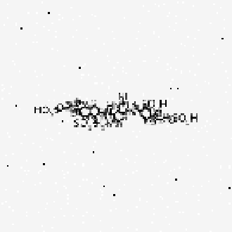 NC(=O)Nc1c(C/N=N/c2ccc(S(=O)(=O)CCOS(=O)(=O)O)cc2S(=O)(=O)O)ccc(N)c1/N=N/c1ccc2cc(S(=O)(=O)CCOS(=O)(=O)O)ccc2c1S(=O)(=O)O